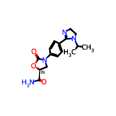 CC(C)N1CCN=C1c1ccc(N2C[C@@H](C(N)=O)OC2=O)cc1